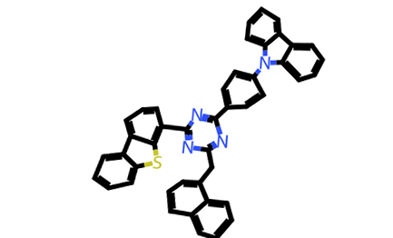 c1ccc2c(Cc3nc(-c4ccc(-n5c6ccccc6c6ccccc65)cc4)nc(-c4cccc5c4sc4ccccc45)n3)cccc2c1